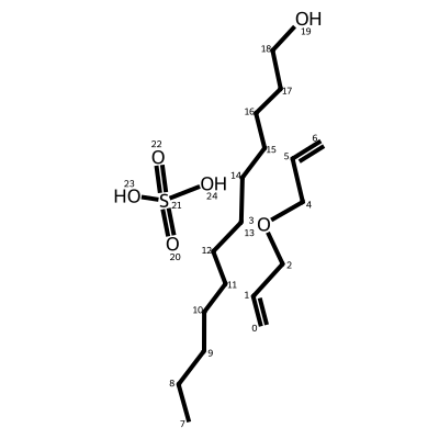 C=CCOCC=C.CCCCCCCCCCCCO.O=S(=O)(O)O